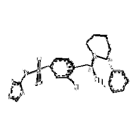 C[C@@H](c1ccc(S(=O)(=O)Nc2ncns2)cc1Cl)N1CCCC[C@@H]1c1ccccc1